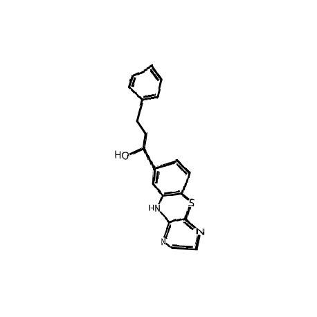 OC(CCc1ccccc1)c1ccc2c(c1)Nc1nccnc1S2